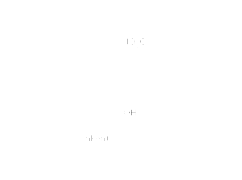 CCCCC/C=C\C/C=C\C=C\[C@@H](O)C/C=C\C/C=C\CCC(=O)O